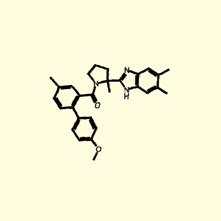 COc1ccc(-c2ccc(C)cc2C(=O)N2CCCC2(C)c2nc3cc(C)c(C)cc3[nH]2)cc1